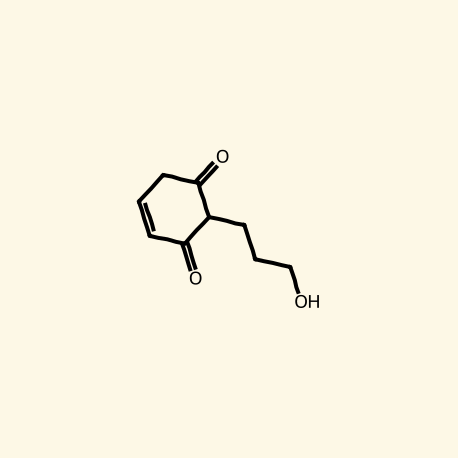 O=C1C=CCC(=O)C1CCCO